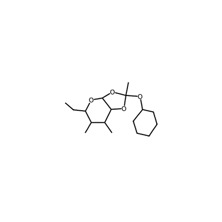 CCC1OC2OC(C)(OC3CCCCC3)OC2C(C)C1C